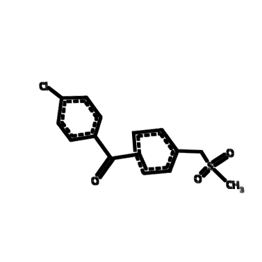 CS(=O)(=O)Cc1ccc(C(=O)c2ccc(Cl)cc2)cc1